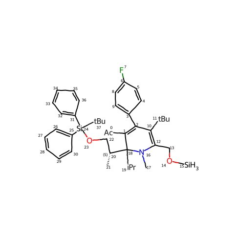 CC(=O)C1=C(c2ccc(F)cc2)C(C(C)(C)C)=C(CO[SiH3])N(C)C1(C(C)C)[C@H](C)CO[Si](c1ccccc1)(c1ccccc1)C(C)(C)C